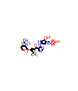 Cc1nc2c(s1)CCO[C@H]2c1cc(C(=O)c2cncnc2N[C@H]2C[C@H](O)[C@@H]([CH]NS(=O)(=O)O)C2)sc1C